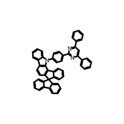 c1ccc(-c2cc(-c3ccccc3)nc(-c3ccc(-n4c5ccccc5c5ccc6c(c54)-c4ccccc4C64c5ccccc5-c5ccccc54)cc3)n2)cc1